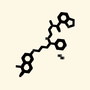 CN(CCNC(CCCOc1ccc2c(ccc(=O)n2C)c1)c1ccncc1)C(=O)c1cccc2c1OCC2.Cl.Cl